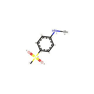 CC(C)(C)Nc1ccc(S(C)(=O)=O)cc1